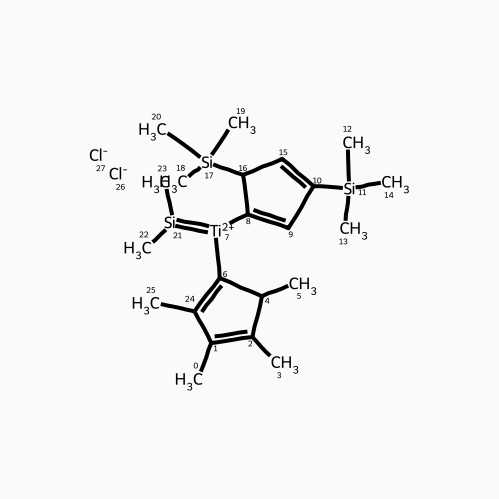 CC1=C(C)C(C)[C]([Ti+2]([C]2=CC([Si](C)(C)C)=CC2[Si](C)(C)C)=[Si](C)C)=C1C.[Cl-].[Cl-]